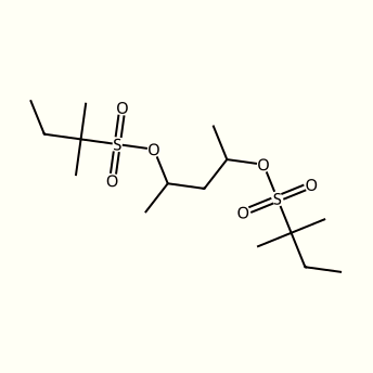 CCC(C)(C)S(=O)(=O)OC(C)CC(C)OS(=O)(=O)C(C)(C)CC